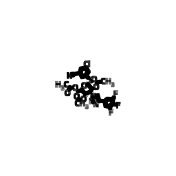 CC(=O)OCC1O[C@H](Sc2cc(Cl)cc(C#N)c2)C(OC(C)=O)[C@@H](n2cc(-c3cc(F)c(F)c(F)c3)nn2)[C@H]1OC(C)=O